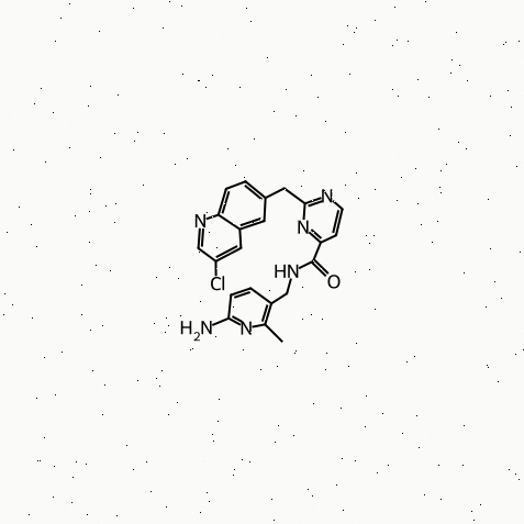 Cc1nc(N)ccc1CNC(=O)c1ccnc(Cc2ccc3ncc(Cl)cc3c2)n1